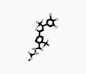 COC(=O)NNC(=O)c1ccc(C(F)=CC(c2cc(Cl)c(Cl)c(Cl)c2)C(F)(F)F)cc1C(F)(F)F